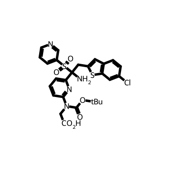 CC(C)(C)OC(=O)N(CC(=O)O)c1cccc(C(N)(Cc2cc3ccc(Cl)cc3s2)S(=O)(=O)c2cccnc2)n1